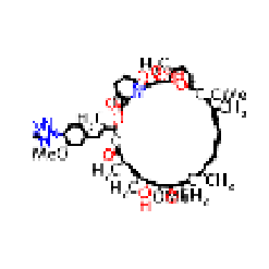 COC1C[C@@H]2CC[C@@H](C)[C@@](O)(O2)C(=O)C(=O)N2CCCC[C@H]2C(=O)O[C@H]([C@H](C)CC2CC[C@H](n3ncnn3)[C@H](OC)C2)CC(=O)[C@H](C)/C=C(\C)[C@@H](O)[C@@H](OC)C(=O)[C@@H](C)C[C@H](C)/C=C/C=C/C=C/1C